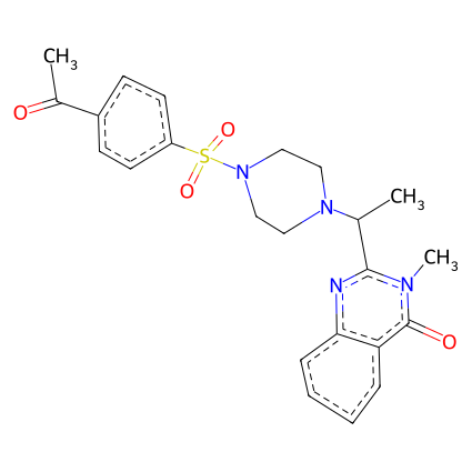 CC(=O)c1ccc(S(=O)(=O)N2CCN(C(C)c3nc4ccccc4c(=O)n3C)CC2)cc1